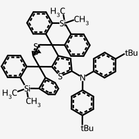 CC(C)(C)c1ccc(N(c2ccc(C(C)(C)C)cc2)c2cc3c(s2)C2(c4ccccc4[Si](C)(C)c4ccccc42)c2ccsc2C32c3ccccc3[Si](C)(C)c3ccccc32)cc1